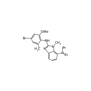 CCN(c1cccc2nc(Nc3c(C)cc(Br)cc3OC)n(C)c12)C(C)C